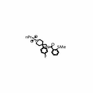 CCCS(=O)(=O)N1CCC(CNC(=O)c2ccccc2SC)(c2ccc(F)cc2)CC1